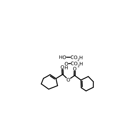 O=C(O)O.O=C(O)O.O=C(OC(=O)C1=CCCCC1)C1=CCCCC1